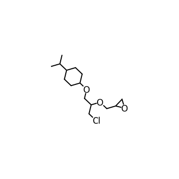 CC(C)C1CCC(OCC(CCl)OCC2CO2)CC1